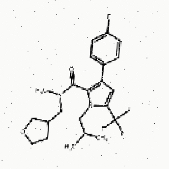 CC(C)Cn1c(C(F)(F)F)cc(-c2ccc(F)cc2)c1C(=O)N(C)CC1CCOC1